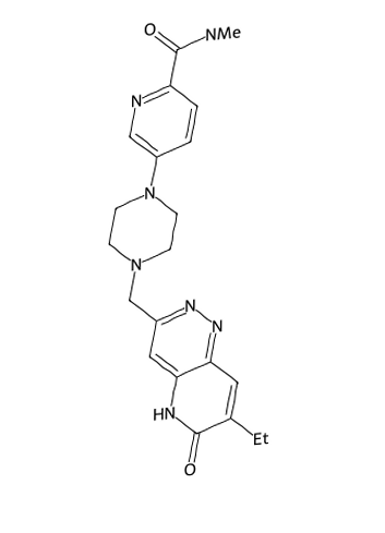 CCc1cc2nnc(CN3CCN(c4ccc(C(=O)NC)nc4)CC3)cc2[nH]c1=O